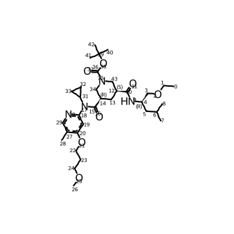 CCOC[C@@H](CC(C)C)NC(=O)[C@H]1C[C@@H](C(=O)N(c2cc(OCCCOC)c(C)cn2)C2CC2)CN(C(=O)OC(C)(C)C)C1